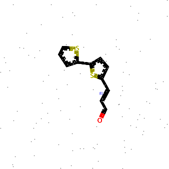 O=C/C=C/c1ccc(-c2cccs2)s1